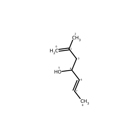 C=C(C)CC(O)/C=C/C